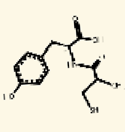 CC(CS)C(=O)N[C@@H](Cc1ccc(O)cc1)C(=O)O